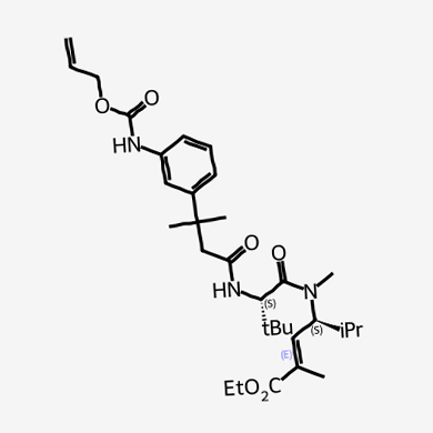 C=CCOC(=O)Nc1cccc(C(C)(C)CC(=O)N[C@H](C(=O)N(C)[C@H](/C=C(\C)C(=O)OCC)C(C)C)C(C)(C)C)c1